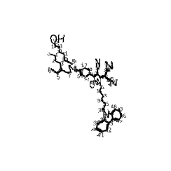 CCCCC(CC)CN(CCCCCCO)c1ccc(C2=C(C#N)C(=C(C#N)C#N)N(CCCCCCn3c4ccccc4c4ccccc43)C2=O)cc1